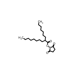 CCCCCCCCC(CCCCCCC)C(=O)ON1C(=O)CCC1=O